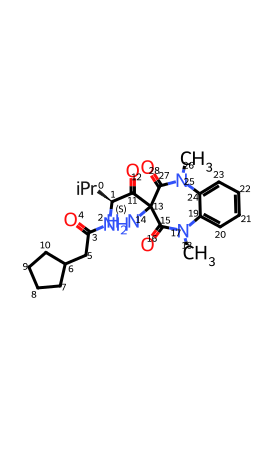 CC(C)[C@H](NC(=O)CC1CCCC1)C(=O)C1(N)C(=O)N(C)c2ccccc2N(C)C1=O